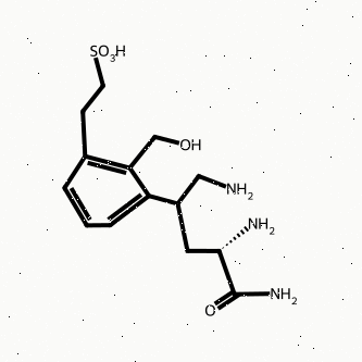 NCC(C[C@H](N)C(N)=O)c1cccc(CCS(=O)(=O)O)c1CO